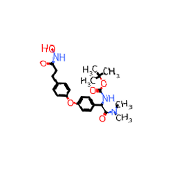 CN(C)C(=O)C(NC(=O)OC(C)(C)C)c1ccc(Oc2ccc(CCC(=O)NO)cc2)cc1